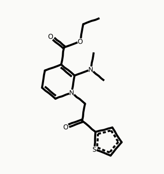 CCOC(=O)C1=C(N(C)C)N(CC(=O)c2cccs2)C=CC1